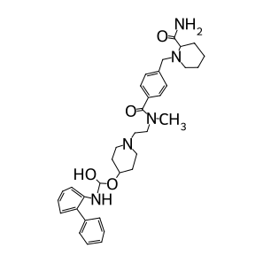 CN(CCN1CCC(OC(O)Nc2ccccc2-c2ccccc2)CC1)C(=O)c1ccc(CN2CCCCC2C(N)=O)cc1